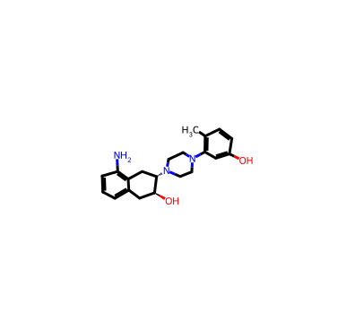 Cc1ccc(O)cc1N1CCN([C@H]2Cc3c(N)cccc3C[C@@H]2O)CC1